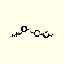 CCON=Cc1cccc(OCC2CCN(c3ccc(Cl)nn3)CC2)c1